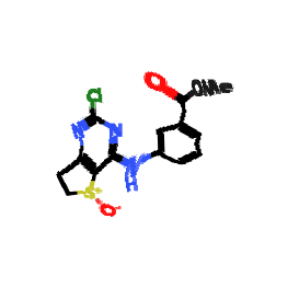 COC(=O)c1cccc(Nc2nc(Cl)nc3c2[S@+]([O-])CC3)c1